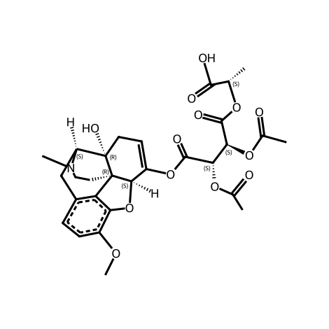 COc1ccc2c3c1O[C@@H]1C(OC(=O)[C@@H](OC(C)=O)[C@H](OC(C)=O)C(=O)O[C@@H](C)C(=O)O)=CC[C@]4(O)[C@H](C2)N(C)CC[C@@]314